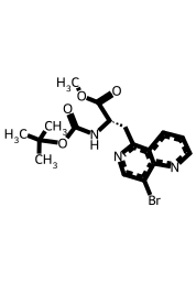 COC(=O)[C@H](Cc1ncc(Br)c2ncccc12)NC(=O)OC(C)(C)C